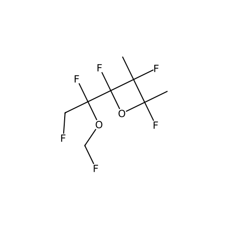 CC1(F)OC(F)(C(F)(CF)OCF)C1(C)F